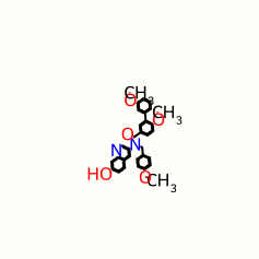 COc1ccc(CN(C(=O)c2ccc(OC)c(-c3cccc(OC)c3)c2)c2cnc3cc(O)ccc3c2)cc1